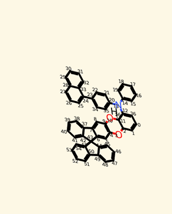 C1=CC2Oc3cc4c(cc3O[C@H]2C(N(c2ccccc2)c2ccc(-c3cccc5ccccc35)cc2)=C1)-c1ccccc1C41c2ccccc2-c2ccccc21